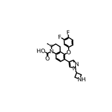 C[C@H]1CCc2c(ccc(-c3cnn(C4CNC4)c3)c2Oc2ccc(F)c(F)c2)N1C(=O)O